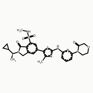 CNS(=O)(=O)c1cc(-c2sc(Nc3cccc(N4CCOCC4=O)n3)nc2C)cc2c1C(=O)N([C@@H](C)C1CC1)C2